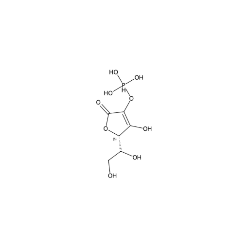 O=C1O[C@@H](C(O)CO)C(O)=C1O[PH](O)(O)O